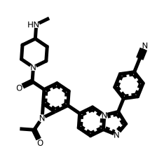 CNC1CCN(C(=O)c2ccc(-c3ccc4ncc(-c5ccc(C#N)cc5)n4c3)c3c2N3C(C)=O)CC1